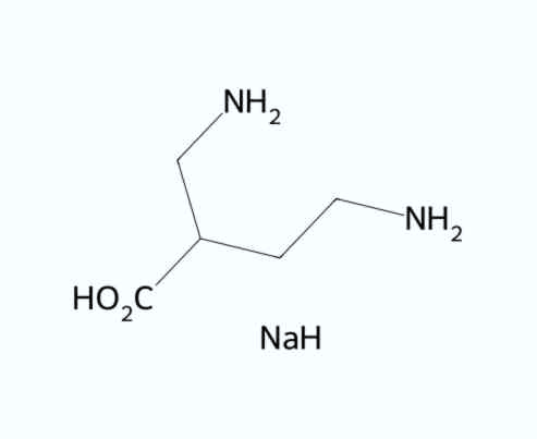 NCCC(CN)C(=O)O.[NaH]